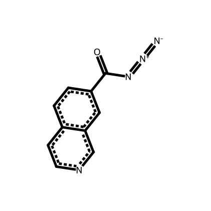 [N-]=[N+]=NC(=O)c1ccc2ccncc2c1